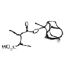 CC(C(=O)O)C(C)C(=O)OC1(C)C2CC3CC(C2)CC1C3